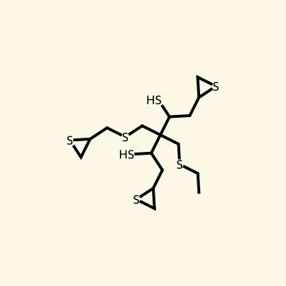 CCSCC(CSCC1CS1)(C(S)CC1CS1)C(S)CC1CS1